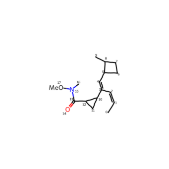 C/C=C\C(=C/C1CCC1C)C1CC1C(=O)N(C)OC